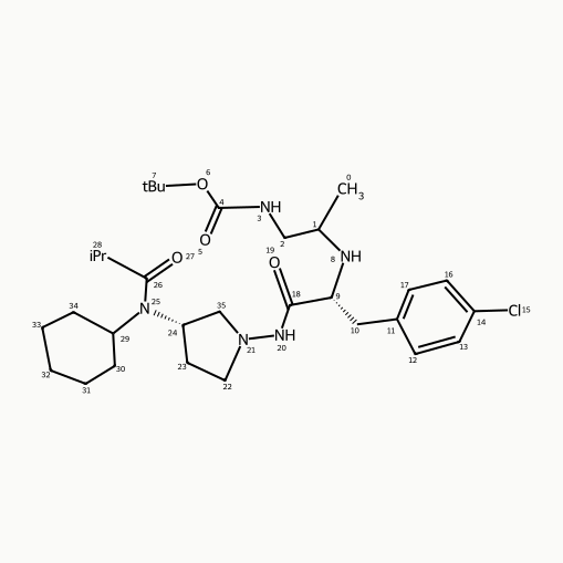 CC(CNC(=O)OC(C)(C)C)N[C@H](Cc1ccc(Cl)cc1)C(=O)NN1CC[C@H](N(C(=O)C(C)C)C2CCCCC2)C1